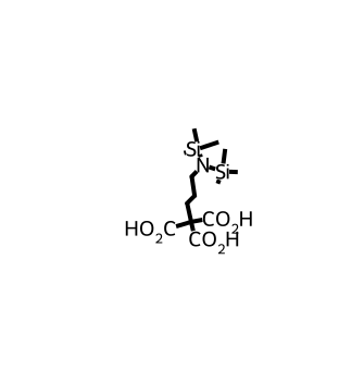 C[Si](C)(C)N(CCCC(C(=O)O)(C(=O)O)C(=O)O)[Si](C)(C)C